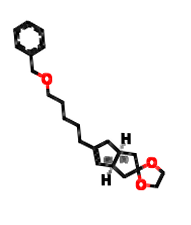 C1=C(CCCCCOCc2ccccc2)C[C@H]2CC3(C[C@@H]12)OCCO3